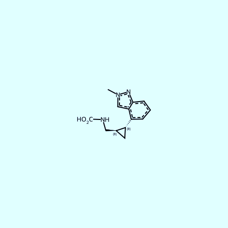 Cn1cc2c([C@@H]3C[C@H]3CNC(=O)O)cccc2n1